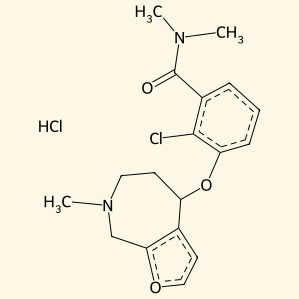 CN1CCC(Oc2cccc(C(=O)N(C)C)c2Cl)c2ccoc2C1.Cl